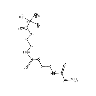 C=CC(=O)NCCOC(=O)NCCOC(=O)C(C)(C)CC